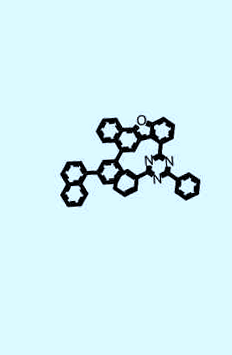 C1=CC(c2nc(-c3ccccc3)nc(-c3cccc4oc5c6ccccc6c(-c6cccc(-c7cccc8ccccc78)c6)cc5c34)n2)=CCC1